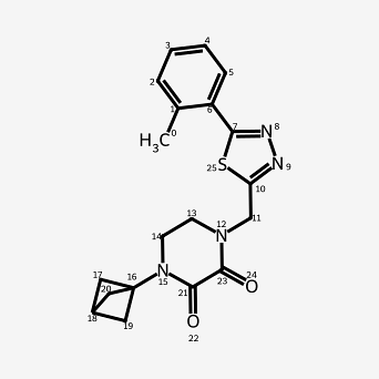 Cc1ccccc1-c1nnc(CN2CCN(C34CC(C3)C4)C(=O)C2=O)s1